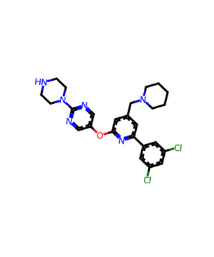 Clc1cc(Cl)cc(-c2cc(CN3CCCCC3)cc(Oc3cnc(N4CCNCC4)nc3)n2)c1